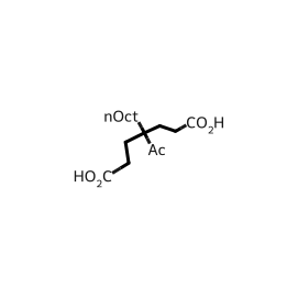 CCCCCCCCC(CCC(=O)O)(CCC(=O)O)C(C)=O